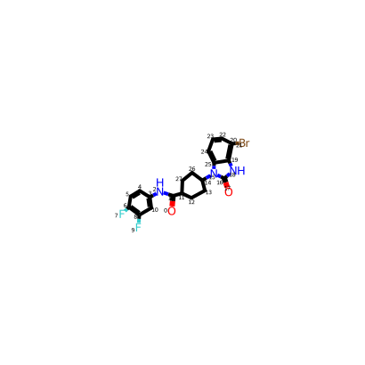 O=C(Nc1ccc(F)c(F)c1)C1CCC(n2c(=O)[nH]c3c(Br)cccc32)CC1